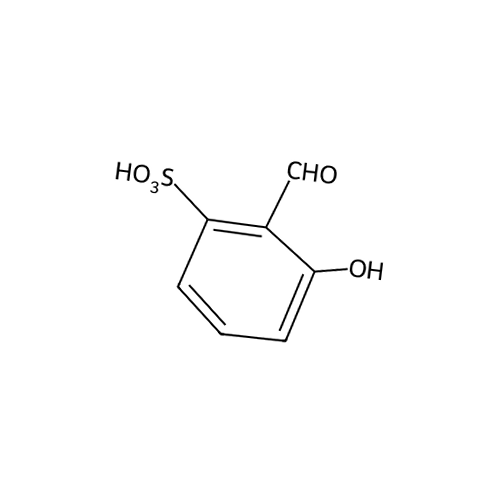 O=Cc1c(O)cccc1S(=O)(=O)O